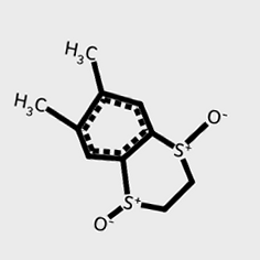 Cc1cc2c(cc1C)[S+]([O-])CC[S+]2[O-]